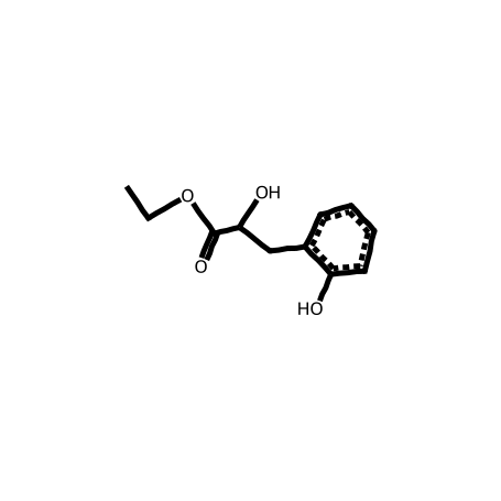 CCOC(=O)C(O)Cc1ccccc1O